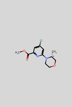 COC(=O)c1cc(Cl)cc(N2CCOC[C@H]2C)n1